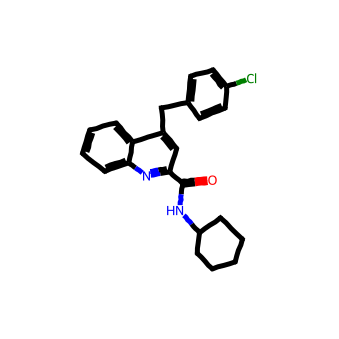 O=C(NC1CCCCC1)c1cc(Cc2ccc(Cl)cc2)c2ccccc2n1